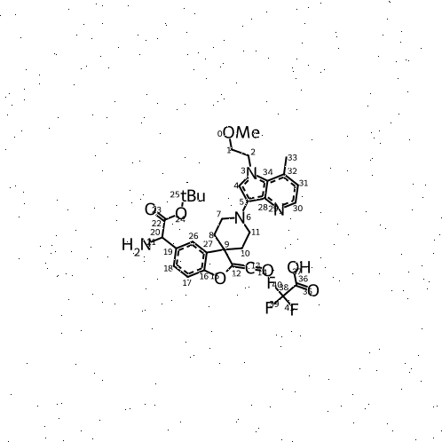 COCCn1cc(N2CCC3(CC2)C(=C=O)Oc2ccc(C(N)C(=O)OC(C)(C)C)cc23)c2nccc(C)c21.O=C(O)C(F)(F)F